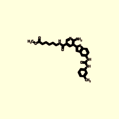 COC(=O)CCCCCNC(=O)c1cnc(N)c(-c2cc3cc(NC(=O)Nc4cccc(C)c4)ccc3s2)c1